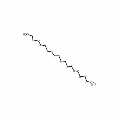 CCCC[CH]CCCCCCCCCCCCCCC